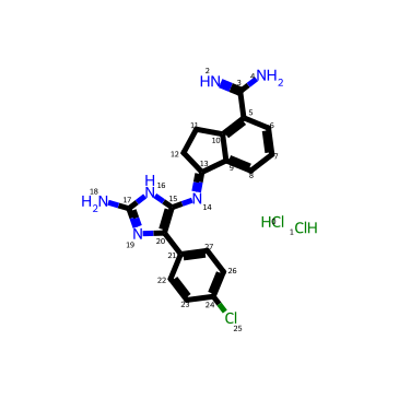 Cl.Cl.N=C(N)c1cccc2c1CCC2=Nc1[nH]c(N)nc1-c1ccc(Cl)cc1